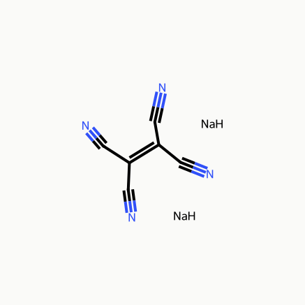 N#CC(C#N)=C(C#N)C#N.[NaH].[NaH]